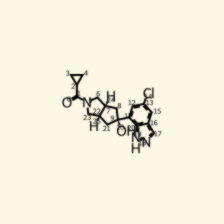 O=C(C1CC1)N1C[C@@H]2C[C@](O)(c3cc(Cl)cc4cn[nH]c34)C[C@@H]2C1